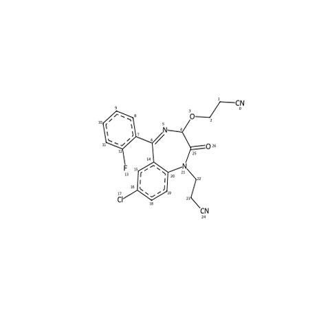 N#CCCOC1N=C(c2ccccc2F)c2cc(Cl)ccc2N(CCC#N)C1=O